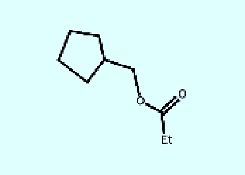 CCC(=O)O[CH]C1CCCC1